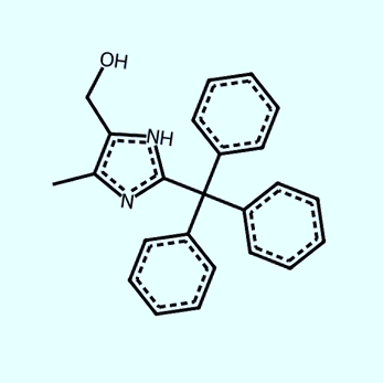 Cc1nc(C(c2ccccc2)(c2ccccc2)c2ccccc2)[nH]c1CO